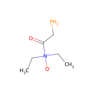 CC[N+]([O-])(CC)C(=O)CP